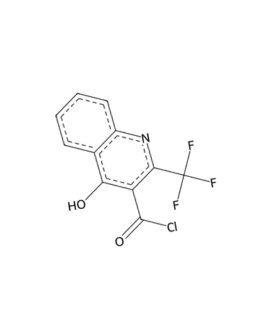 O=C(Cl)c1c(C(F)(F)F)nc2ccccc2c1O